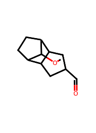 COC1C2CCC1C1CC(C=O)CC12